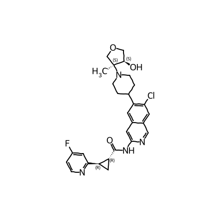 C[C@]1(N2CCC(c3cc4cc(NC(=O)[C@@H]5C[C@H]5c5cc(F)ccn5)ncc4cc3Cl)CC2)COC[C@H]1O